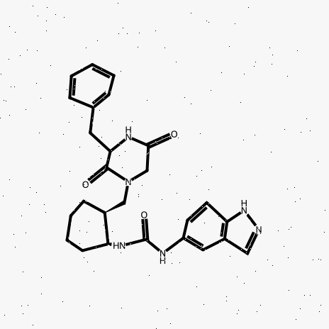 O=C1CN(C[C@@H]2CCCC[C@H]2NC(=O)Nc2ccc3[nH]ncc3c2)C(=O)C(Cc2ccccc2)N1